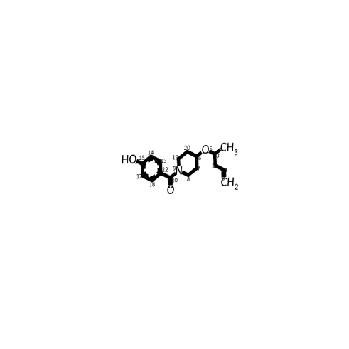 C=CCC(C)OC1CCN(C(=O)c2ccc(O)cc2)CC1